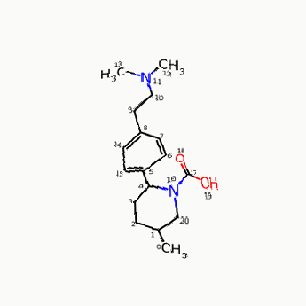 CC1CCC(c2ccc(CCN(C)C)cc2)N(C(=O)O)C1